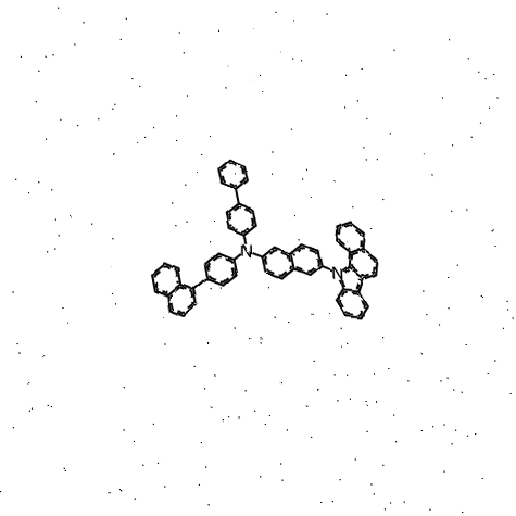 c1ccc(-c2ccc(N(c3ccc(-c4cccc5ccccc45)cc3)c3ccc4cc(-n5c6ccccc6c6ccc7ccccc7c65)ccc4c3)cc2)cc1